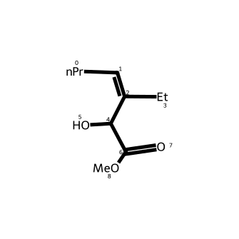 CCCC=C(CC)C(O)C(=O)OC